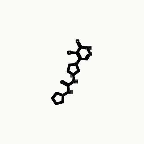 O=C(NC1CCCC1)N[C@H]1CCN(c2cn[nH]c(=O)c2Cl)C1